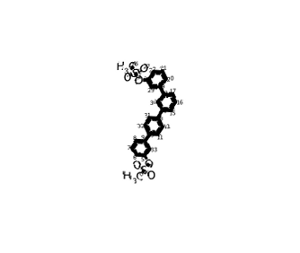 CS(=O)(=O)Oc1cccc(-c2ccc(-c3cccc(-c4cccc(OS(C)(=O)=O)c4)c3)cc2)c1